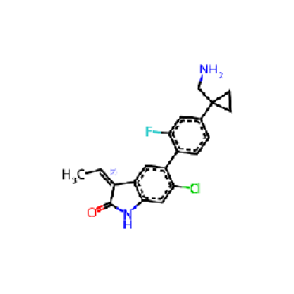 C/C=C1\C(=O)Nc2cc(Cl)c(-c3ccc(C4(CN)CC4)cc3F)cc21